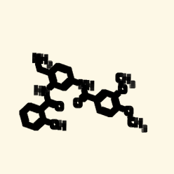 COc1ccc(C(=O)Nc2ccc(CN)c(NC(=O)c3ccccc3O)c2)cc1OC